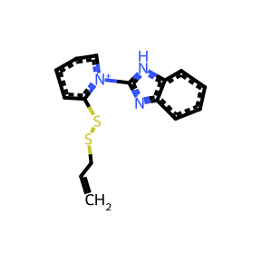 C=CCSSc1cccc[n+]1-c1nc2ccccc2[nH]1